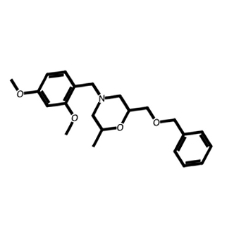 COc1ccc(CN2CC(C)OC(COCc3ccccc3)C2)c(OC)c1